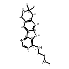 COCCNc1ncnc2c1sc1nc3c(cc12)COC(C)(C)C3